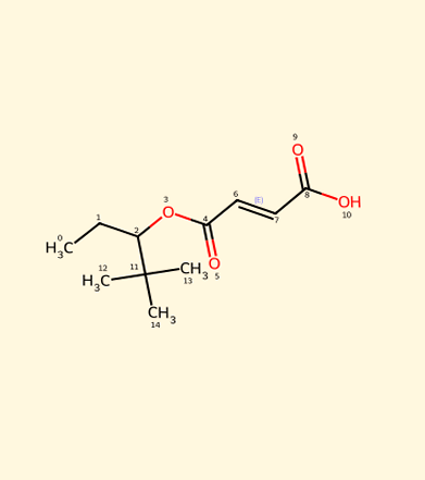 CCC(OC(=O)/C=C/C(=O)O)C(C)(C)C